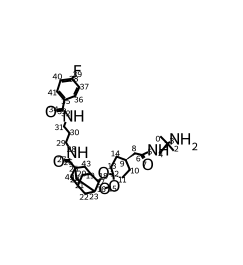 CC(C)(N)CNC(=O)C[C@H]1CC[C@]2(CC1)OO[C@]1(O2)C2CC3CC1CC(C(=O)NCCCNC(=O)c1ccc(F)cc1)(C3)C2